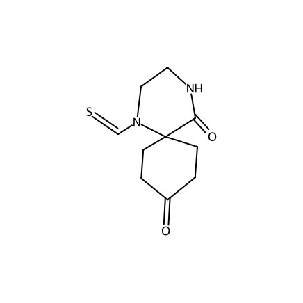 O=C1CCC2(CC1)C(=O)NCCN2C=S